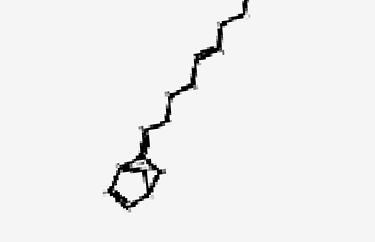 CCCCC=CCCCC=C1CC2C=CC1C2